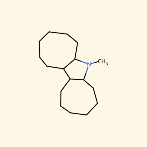 CN1C2CCCCCCC2C2CCCCCCC21